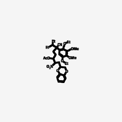 CCOc1cc(C(C#N)(CCC(OC(C)=O)C(CC2COc3ccccc3O2)[N+](=O)[O-])C(CC)CC)c(OCC)c(OC)c1OC